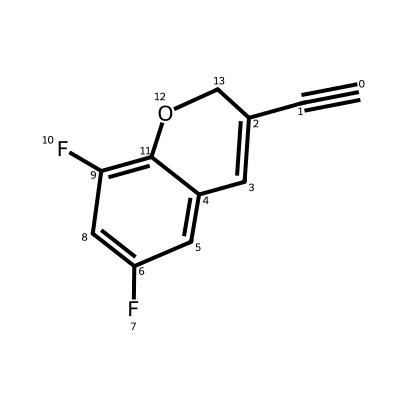 C#CC1=Cc2cc(F)cc(F)c2OC1